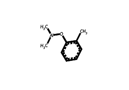 Cc1ccccc1[O][Al]([CH3])[CH3]